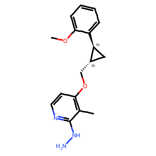 COc1ccccc1[C@H]1C[C@@H]1COc1ccnc(NN)c1C